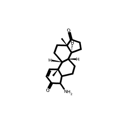 C[C@]12C=CC(=O)C(N)C1CC[C@@H]1[C@H]2CC[C@]2(C)C(=O)CC[C@@H]12